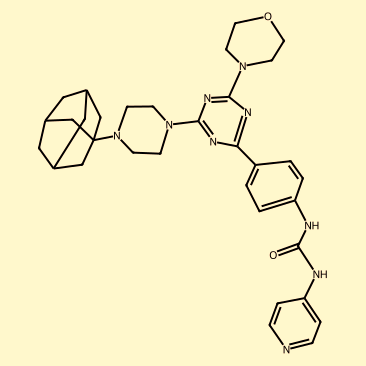 O=C(Nc1ccncc1)Nc1ccc(-c2nc(N3CCOCC3)nc(N3CCN(C45CC6CC(CC(C6)C4)C5)CC3)n2)cc1